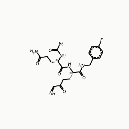 CCC(=O)N[C@@H](CCC(N)=O)C(=O)N[C@@H](CCC(=O)C=N)C(=O)NCc1ccc(F)cc1